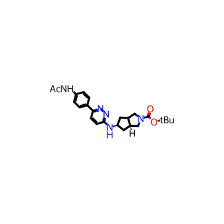 CC(=O)Nc1ccc(-c2ccc(N[C@H]3CC4CN(C(=O)OC(C)(C)C)C[C@H]4C3)nn2)cc1